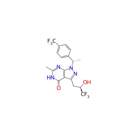 Cc1nc2c(c(C[C@@H](O)C(F)(F)F)nn2[C@@H](C)c2ccc(C(F)(F)F)cc2)c(=O)[nH]1